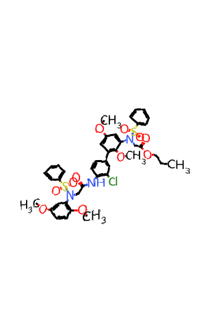 CCCOC(=O)CN(c1cc(OC)cc(-c2ccc(NC(=O)CN(c3cc(OC)ccc3OC)S(=O)(=O)c3ccccc3)c(Cl)c2)c1OC)S(=O)(=O)c1ccccc1